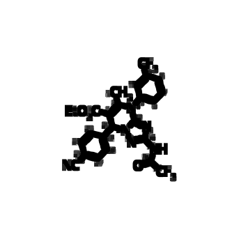 CCOC(=O)C1=C(C)N(c2cccc(C(F)(F)F)c2)c2nc(NC(=O)C(F)(F)F)nn2C1c1ccc(C#N)cc1